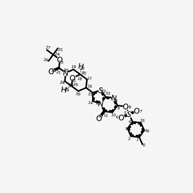 Cc1ccc(S(=O)(=O)Oc2cc(=O)n3cc(C4C[C@@H]5CN(C(=O)OC(C)(C)C)C[C@H](C4)O5)sc3n2)cc1